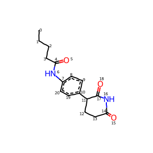 CCCCC(=O)Nc1ccc(C2CCC(=O)NC2=O)cc1